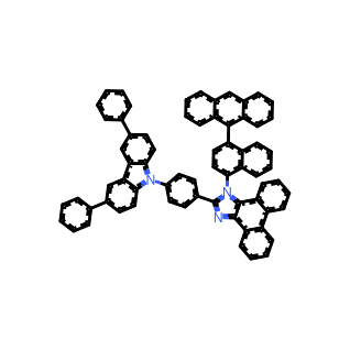 c1ccc(-c2ccc3c(c2)c2cc(-c4ccccc4)ccc2n3-c2ccc(-c3nc4c5ccccc5c5ccccc5c4n3-c3ccc(-c4c5ccccc5cc5ccccc45)c4ccccc34)cc2)cc1